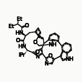 CCC(CC)C(=O)N[C@H]1Cc2ccc3c(c2)[C@]24c5cccc(c5NC2O3)-c2cccc3[nH]cc(c23)-c2cnc(o2)-c2nc(oc24)[C@H](C(C)C)NC1=O